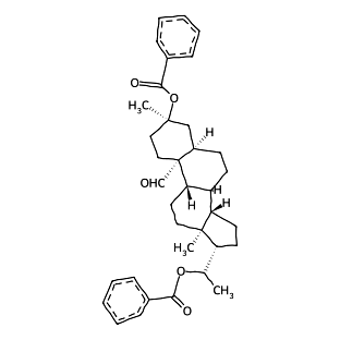 CC(OC(=O)c1ccccc1)[C@H]1CC[C@H]2[C@@H]3CC[C@@H]4C[C@](C)(OC(=O)c5ccccc5)CC[C@]4(C=O)[C@H]3CC[C@]12C